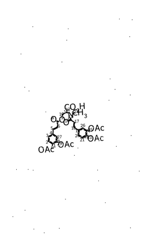 CC(=O)Oc1ccc(C=CC(=O)OC[C@H](C(=O)O)N(C)C(=O)C=Cc2ccc(OC(C)=O)c(OC(C)=O)c2)cc1OC(C)=O